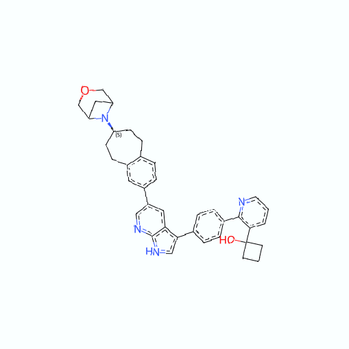 OC1(c2cccnc2-c2ccc(-c3c[nH]c4ncc(-c5ccc6c(c5)CC[C@@H](N5C7COCC5C7)CC6)cc34)cc2)CCC1